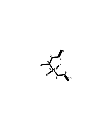 C=CCC(C)[N+](C)(C)CC=C